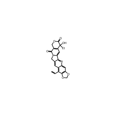 C=Cc1c2c(cc3nc4c(cc13)Cn1c-4cc3c(c1=O)COC(=O)C3(O)CC)OCO2